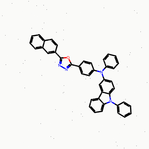 c1ccc(N(c2ccc(-c3nnc(-c4ccc5ccccc5c4)o3)cc2)c2ccc3c(c2)c2ccccc2n3-c2ccccc2)cc1